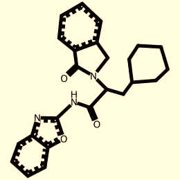 O=C(Nc1nc2ccccc2o1)C(CC1CCCCC1)N1Cc2ccccc2C1=O